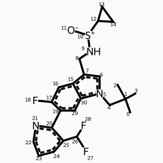 CC(C)(C)Cn1cc(CN[S+]([O-])C2CC2)c2cc(F)c(-c3ncccc3C(F)F)cc21